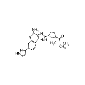 CC(C)(C)C(=O)N1CC[C@H](c2nc3c(N)nc4cc(-c5cc[nH]n5)ccc4c3[nH]2)C1